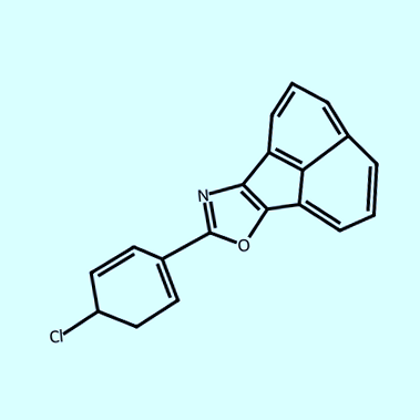 ClC1C=CC(c2nc3c(o2)-c2cccc4cccc-3c24)=CC1